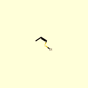 C/C=C\SCC